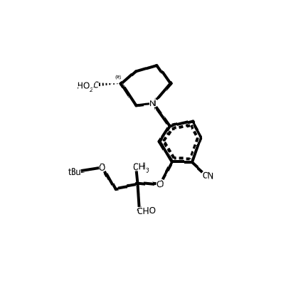 CC(C)(C)OCC(C)(C=O)Oc1cc(N2CCC[C@@H](C(=O)O)C2)ccc1C#N